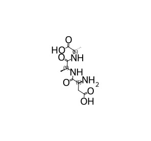 C[C@H](NC(=O)[C@H](C)NC(=O)[C@@H](N)CC(=O)O)C(=O)O